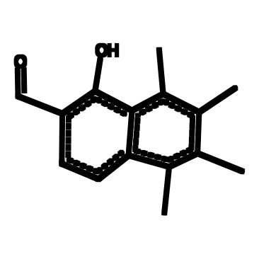 Cc1c(C)c(C)c2c(O)c(C=O)ccc2c1C